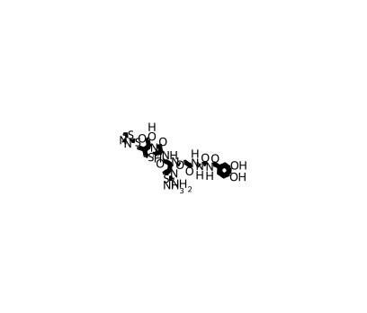 N.Nc1nc(C(=NOCC(=O)NNC(=O)NC(=O)c2ccc(O)c(O)c2)C(=O)NC2C(=O)N3C(C(=O)O)=C(CSc4nncs4)CS[C@@H]23)cs1